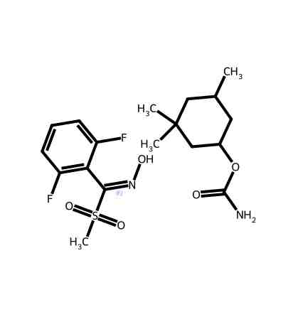 CC1CC(OC(N)=O)CC(C)(C)C1.CS(=O)(=O)/C(=N/O)c1c(F)cccc1F